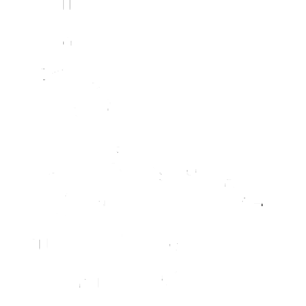 CCOC(=O)c1cccc(Cc2c(C(=O)OCC)n(Cc3cc4c(cc3CC)OCO4)c3ccc(OCOC)cc3c2=O)c1